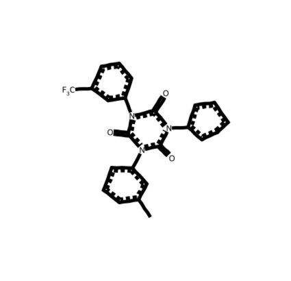 Cc1cccc(-n2c(=O)n(-c3ccccc3)c(=O)n(-c3cccc(C(F)(F)F)c3)c2=O)c1